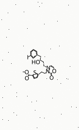 COC(=O)c1ccc(CCN2C(=O)OC=CN2CCC(O)Cc2cccc(I)c2)s1